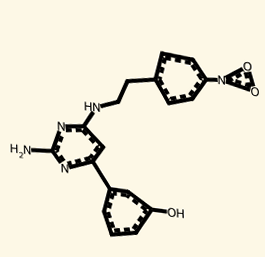 Nc1nc(NCCc2ccc(-n3oo3)cc2)cc(-c2cccc(O)c2)n1